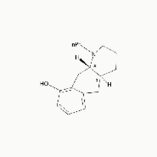 CCCN1CCC[C@H]2Cc3cccc(O)c3C[C@@H]21